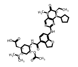 CC[C@@H]1C(=O)N(C)c2cnc(Nc3ccc(C(=O)N[C@@H]4C[C@H](CC(=O)O)[C@@H](N(C)C)C[C@H]4OC(C)=O)c4c3OCC4)nc2N1C1CCCC1